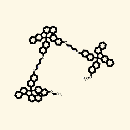 C=COc1ccc2cc(C3(c4ccc5cc(O/C=C/C=C/Oc6ccc7cc(C8(c9ccc%10cc(O/C=C/C=C/Oc%11ccc%12cc(C%13(c%14ccc%15cc(OC)ccc%15c%14)c%14cc%15ccccc%15cc%14-c%14c%13ccc%13ccccc%14%13)ccc%12c%11)ccc%10c9)c9c(ccc%10ccccc9%10)C9C=c%10ccccc%10=CC98)ccc7c6)ccc5c4)c4ccc5ccccc5c4-c4ccc5ccccc5c43)ccc2c1